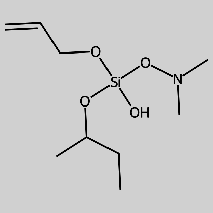 C=CCO[Si](O)(OC(C)CC)ON(C)C